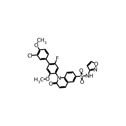 COc1ccc(-c2cc(OC)c(-n3c(=O)ccc4cc(S(=O)(=O)Nc5ccon5)ccc43)cc2F)cc1Cl